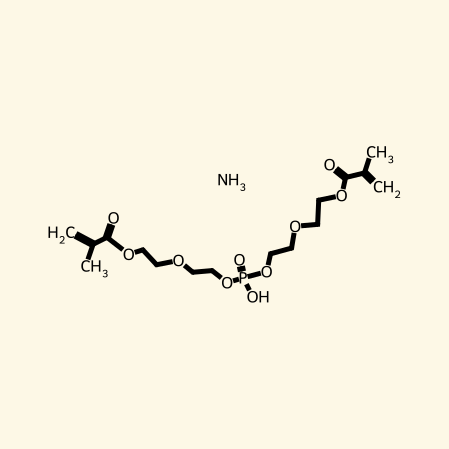 C=C(C)C(=O)OCCOCCOP(=O)(O)OCCOCCOC(=O)C(=C)C.N